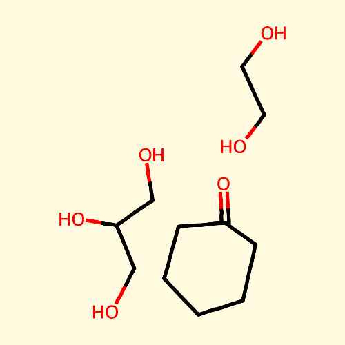 O=C1CCCCC1.OCC(O)CO.OCCO